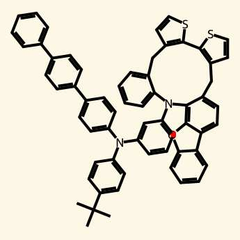 CC(C)(C)c1ccc(N(c2ccc(-c3ccc(-c4ccccc4)cc3)cc2)c2cccc(N3c4ccccc4Cc4ccsc4-c4sccc4Cc4ccc5c(oc6ccccc65)c43)c2)cc1